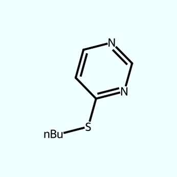 [CH2]CCCSc1ccncn1